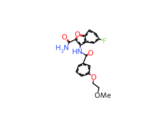 COCCOc1cccc(C(=O)Nc2c(C(N)=O)oc3ccc(F)cc23)c1